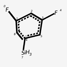 Fc1cc(F)cc([SiH3])c1